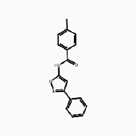 Cc1ccc(C(=O)Nc2cc(-c3ccccc3)no2)cc1